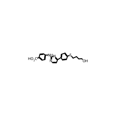 O=C(O)c1ccc(Nc2nccc(-c3ccc(SCCCCO)cc3)n2)cc1